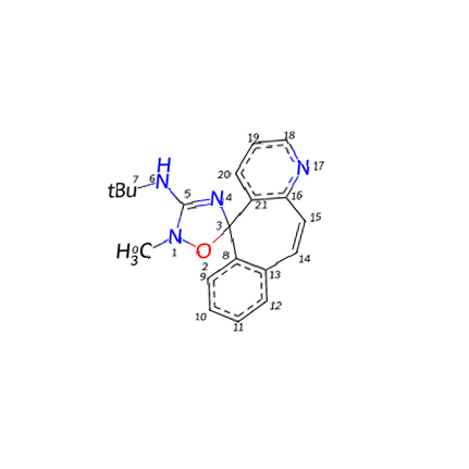 CN1OC2(N=C1NC(C)(C)C)c1ccccc1C=Cc1ncccc12